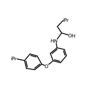 CC(C)CC(O)Nc1cccc(Oc2ccc(C(C)C)cc2)c1